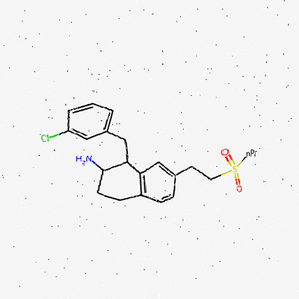 CCCS(=O)(=O)CCc1ccc2c(c1)C(Cc1cccc(Cl)c1)C(N)CC2